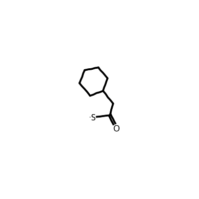 O=C([S])CC1CCCCC1